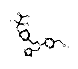 CCc1cnc(N(CCc2ccc(OC(C)(C)C(=O)O)cc2)Cc2ccoc2)nc1